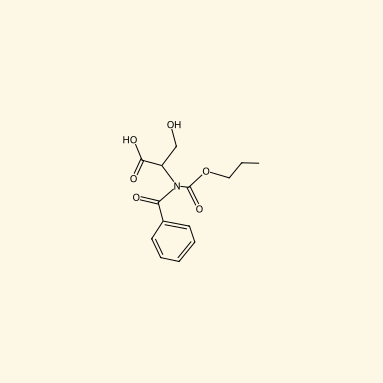 CCCOC(=O)N(C(=O)c1ccccc1)C(CO)C(=O)O